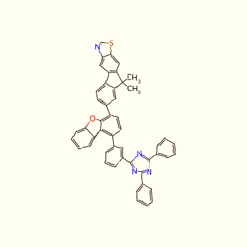 CC1(C)c2cc(-c3ccc(-c4cccc(-c5nc(-c6ccccc6)nc(-c6ccccc6)n5)c4)c4c3oc3ccccc34)ccc2-c2cc3ncsc3cc21